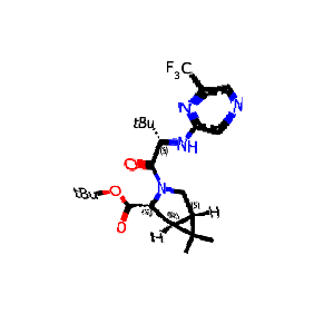 CC(C)(C)OC(=O)[C@@H]1[C@@H]2[C@H](CN1C(=O)[C@@H](Nc1cncc(C(F)(F)F)n1)C(C)(C)C)C2(C)C